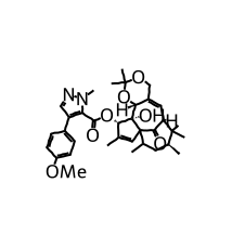 COc1ccc(-c2cnn(C)c2C(=O)O[C@H]2C(C)=CC34C(=O)[C@@H](C=C5COC(C)(C)O[C@H]5[C@]23O)C(C)(C)[C@@H](C)CC4C)cc1